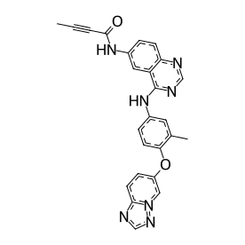 CC#CC(=O)Nc1ccc2ncnc(Nc3ccc(Oc4ccc5ncnn5c4)c(C)c3)c2c1